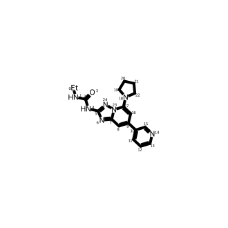 CCNC(=O)Nc1nc2cc(-c3cccnc3)cc(N3CCCC3)n2n1